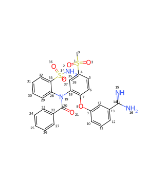 CS(=O)(=O)c1ccc(Oc2cccc(C(=N)N)c2)c(N(C(=O)c2ccccc2)c2ccccc2S(N)(=O)=O)c1